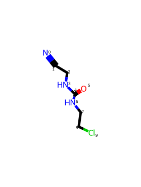 N#CCNC(=O)NCCCl